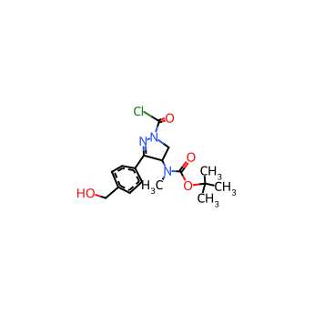 CN(C(=O)OC(C)(C)C)C1CN(C(=O)Cl)N=C1c1ccc(CO)cc1